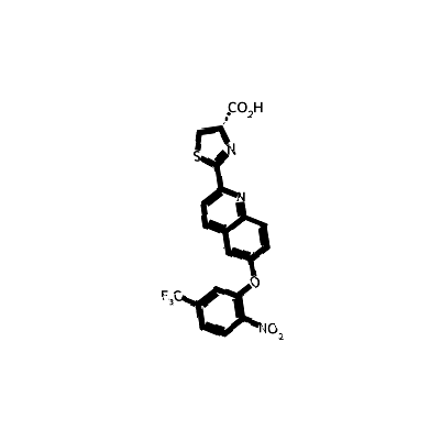 O=C(O)[C@H]1CSC(c2ccc3cc(Oc4cc(C(F)(F)F)ccc4[N+](=O)[O-])ccc3n2)=N1